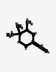 CC1OC(=C=O)OCC1(C)C